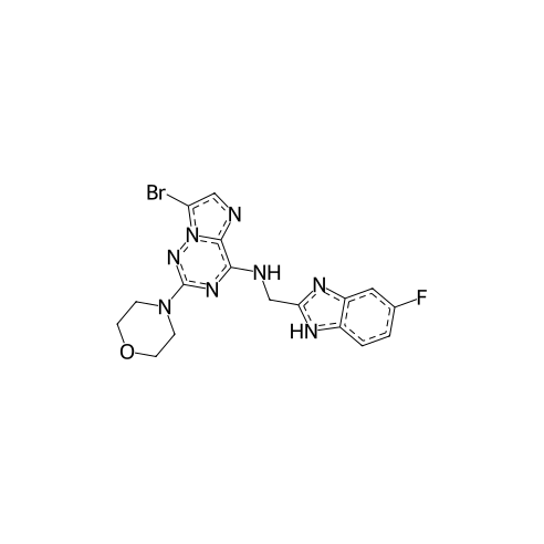 Fc1ccc2[nH]c(CNc3nc(N4CCOCC4)nn4c(Br)cnc34)nc2c1